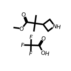 COC(=O)C(C)(C)C1CNC1.O=C(O)C(F)(F)F